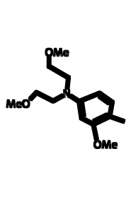 COCCN(CCOC)c1ccc(C)c(OC)c1